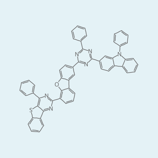 c1ccc(-c2nc(-c3ccc4oc5c(-c6nc(-c7ccccc7)c7sc8ccccc8c7n6)cccc5c4c3)nc(-c3ccc4c5ccccc5n(-c5ccccc5)c4c3)n2)cc1